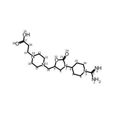 N=C(N)N1CCC(N2CC(CN3CCN(CCC(=O)O)CC3)OC2=O)CC1